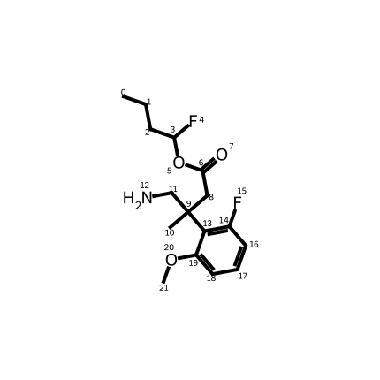 CCCC(F)OC(=O)CC(C)(CN)c1c(F)cccc1OC